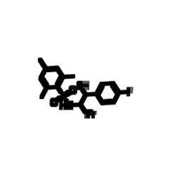 Cc1cc(C)c(S(=O)(=O)NC(C(C)C)C(S)c2ccc(F)cc2)c(C)c1